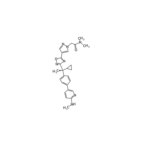 CNc1ccc(-c2ccc([C@](C)(c3noc(-c4cnn(CC(=O)N(C)C)c4)n3)C3CC3)cc2)cn1